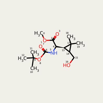 COC(=O)C(NC(=O)OC(C)(C)C)[C@@H]1C(CO)C1(C)C